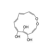 OC1=C/C=C/C=C/C=C\OO/C=C\C(O)=C\1O